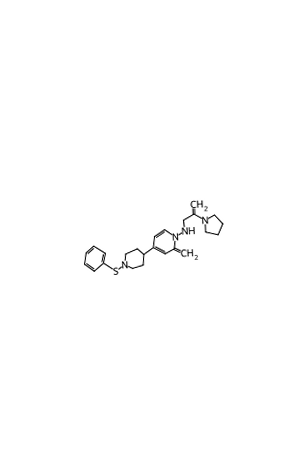 C=C(CNN1C=CC(C2CCN(Sc3ccccc3)CC2)=CC1=C)N1CCCC1